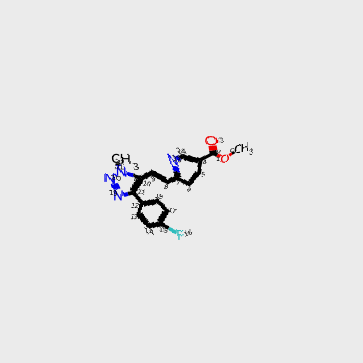 COC(=O)c1ccc(C=Cc2c(-c3ccc(F)cc3)nnn2C)nc1